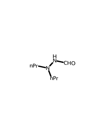 CCCN(CCC)NC=O